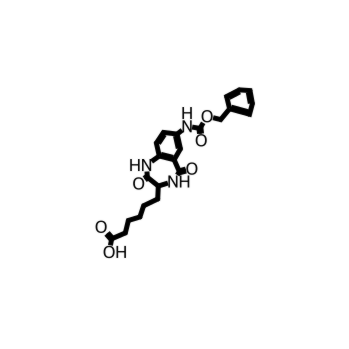 O=C(O)CCCCCC1NC(=O)c2cc(NC(=O)OCc3ccccc3)ccc2NC1=O